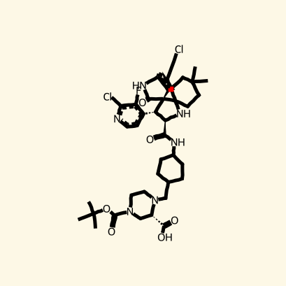 CC1(C)CCC2(CC1)N[C@@H](C(=O)NC1CCC(CN3CCN(C(=O)OC(C)(C)C)C[C@H]3C(=O)O)CC1)[C@H](c1ccnc(Cl)c1F)[C@]21C(=O)Nc2cc(Cl)ccc21